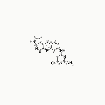 Nc1nc(Cl)cc(Nc2ccc(Cc3ccnc4[nH]ccc34)c(F)c2)n1